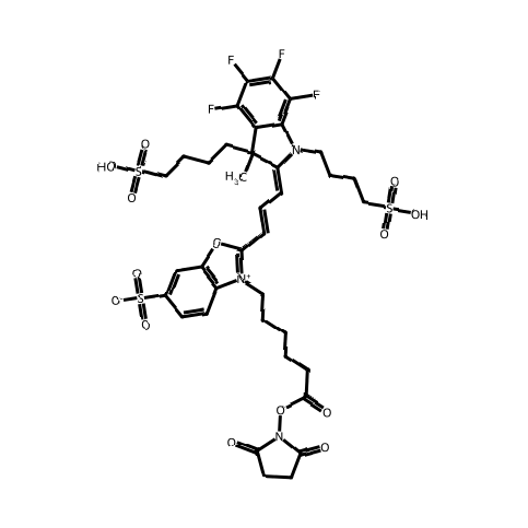 CC1(CCCCS(=O)(=O)O)/C(=C\C=C\c2oc3cc(S(=O)(=O)[O-])ccc3[n+]2CCCCCC(=O)ON2C(=O)CCC2=O)N(CCCCS(=O)(=O)O)c2c(F)c(F)c(F)c(F)c21